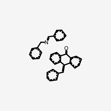 C(=NCc1ccccc1)c1ccccc1.O=C1c2ccccc2C(=Cc2ccccc2)c2ccccc21